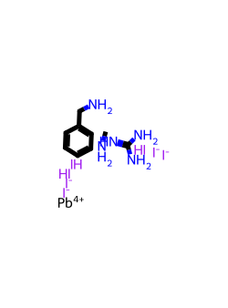 CN.I.I.I.N=C(N)N.NCc1ccccc1.[I-].[I-].[I-].[I-].[Pb+4]